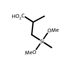 CO[Si](C)(CC(C)C(=O)O)OC